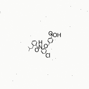 CC(C)Cc1ccccc1C(=O)Nc1ccc(Cl)cc1OCc1ccc(C(=O)O)cc1